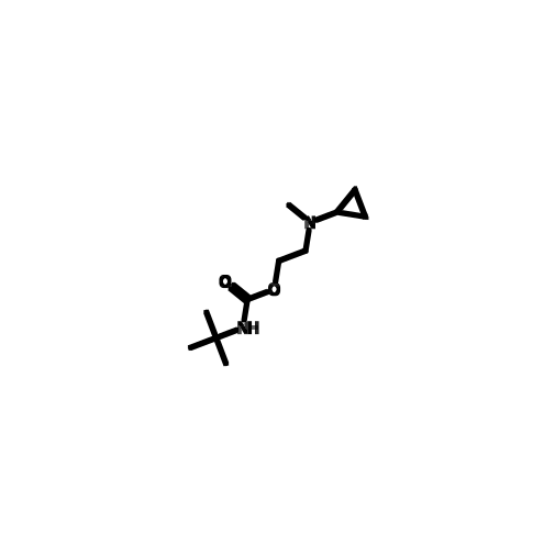 CN(CCOC(=O)NC(C)(C)C)C1CC1